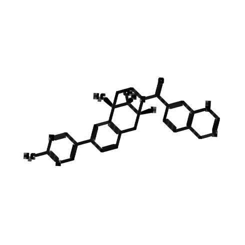 Cc1ncc(-c2ccc3c(c2)[C@]2(C)CCN(C(=O)c4ccc5c(c4)NC=NC5)[C@H](C3)[C@H]2C)cn1